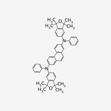 CC1(C)OC(C)(C)c2cc(N(c3ccccc3)c3ccc4c(ccc5cc(N(c6ccccc6)c6ccc7c(c6)C(C)(C)OC7(C)C)ccc54)c3)ccc21